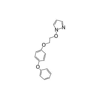 c1ccc(Oc2ccc(OCCOn3cccn3)cc2)cc1